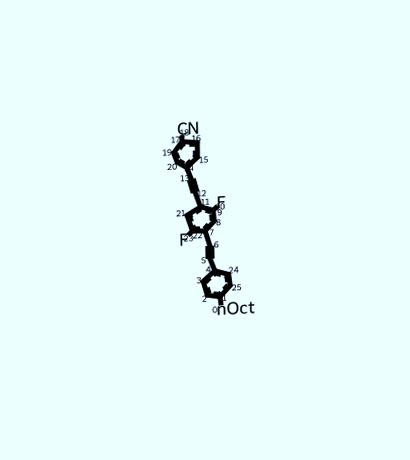 CCCCCCCCc1ccc(C#Cc2cc(F)c(C#Cc3ccc(C#N)cc3)cc2F)cc1